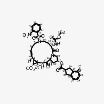 CCOC(=O)[C@@]12C[C@H]1/C=C\CCN(S(=O)(=O)c1ccccc1[N+](=O)[O-])CC[C@H](NC(=O)OC(C)(C)C)C(=O)N1C[C@H](OC(=O)C3Cc4cccc(F)c4C3)C[C@H]1C(=O)N2